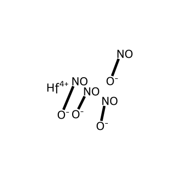 O=N[O-].O=N[O-].O=N[O-].O=N[O-].[Hf+4]